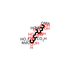 CNC(=O)C1OC(CC2C(C(=O)O)OC(OC)C(O)C2O)C(O)C(O)C1CC1OC(C(=O)O)C(CC2OC(C(=O)O)C(OC)C(O)C2O)C(O)C1O